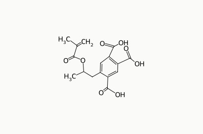 C=C(C)C(=O)OC(C)Cc1cc(C(=O)O)c(C(=O)O)cc1C(=O)O